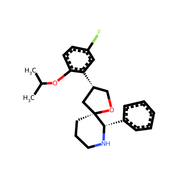 CC(C)Oc1ccc(F)cc1[C@@H]1CO[C@]2(CCCN[C@H]2c2ccccc2)C1